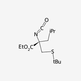 CCOC(=O)[C@](CSC(C)(C)C)(CC(C)C)N=C=O